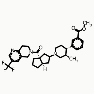 COC(=O)c1cccc([C@H]2CCN(C3C[C@H]4CCC[C@@]4(C(=O)N4CCc5ncc(C(F)(F)F)cc5C4)C3)C[C@@H]2C)c1